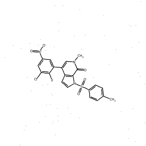 Cc1ccc(S(=O)(=O)n2ccc3c(-c4cc([N+](=O)[O-])cc(Cl)c4F)cn(C)c(=O)c32)cc1